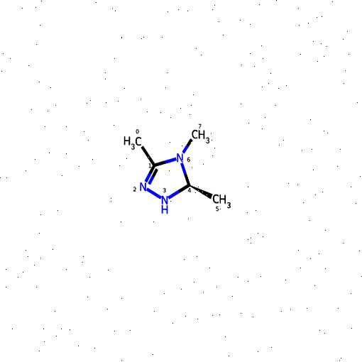 CC1=NN[C@H](C)N1C